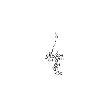 CC[C@@H](O)[C@@H](O)[C@H](COC1OC(CONOP2(=O)OCCC(c3cccc(Cl)c3)O2)C(O)C(O)C1O)NC(=O)CCCCCCCCCCC12CC(F)(C1)C2